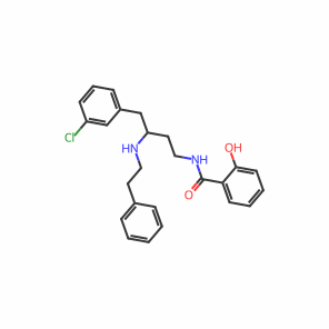 O=C(NCCC(Cc1cccc(Cl)c1)NCCc1ccccc1)c1ccccc1O